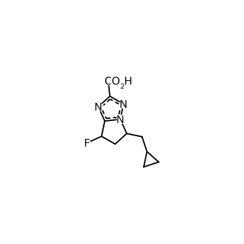 O=C(O)c1nc2n(n1)C(CC1CC1)CC2F